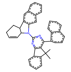 CC1(C)c2ccccc2-c2nc(N3c4cc5ccccc5cc4C4CCC=CC43)nc(-c3cccc4ccccc34)c21